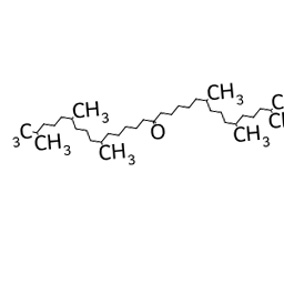 CC(C)CCCC(C)CCCC(C)CCCCCC(=O)CCCCCC(C)CCCC(C)CCCC(C)C